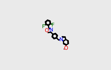 COC1=CC2C(C=C1)C=CN2Cc1ccc(C2COC(c3c(F)cccc3F)=N2)cc1